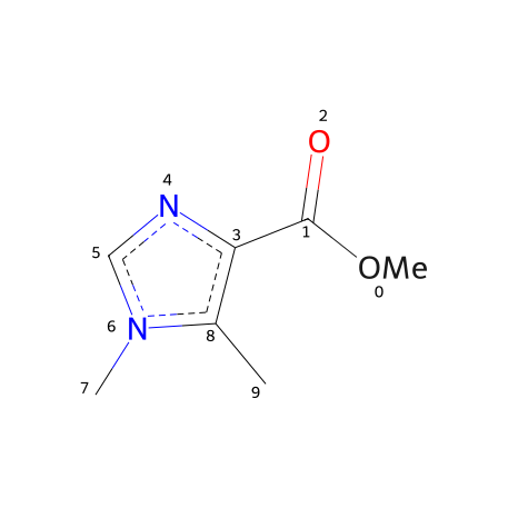 COC(=O)c1ncn(C)c1C